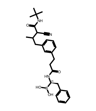 CC(Cc1cccc(CCC(=O)N[C@@H](Cc2ccccc2)B(O)O)c1)C(C#N)C(=O)NC(C)(C)C